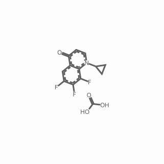 O=C(O)O.O=c1ccn(C2CC2)c2c(F)c(F)c(F)cc12